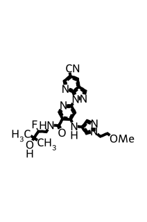 COCCn1cc(Nc2cc(-n3ncc4cc(C#N)cnc43)ncc2C(=O)NC[C@@H](F)C(C)(C)O)cn1